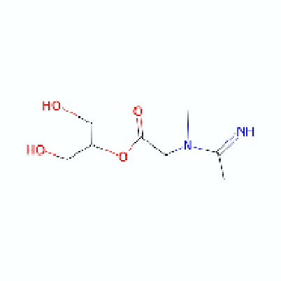 CC(=N)N(C)CC(=O)OC(CO)CO